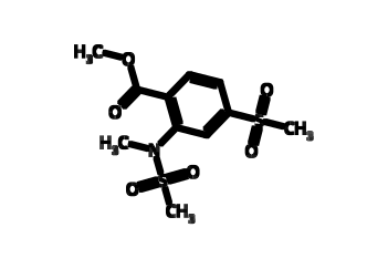 COC(=O)c1ccc(S(C)(=O)=O)cc1N(C)S(C)(=O)=O